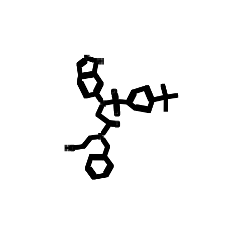 CC(C)(C)c1ccc(S(=O)(=O)N(CC(=O)N(CCO)Cc2ccccc2)c2ccc3cn[nH]c3c2)cc1